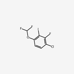 Fc1c(Cl)ccc(OC(F)F)c1I